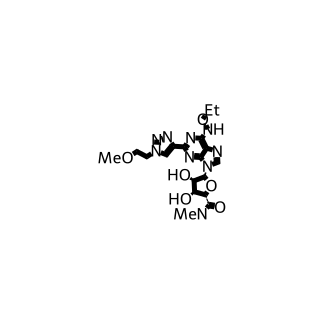 CCONc1nc(-c2cn(CCOC)nn2)nc2c1ncn2[C@@H]1O[C@H](C(=O)NC)[C@@H](O)[C@H]1O